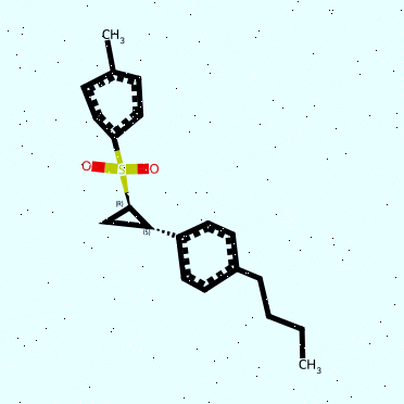 CCCCc1ccc([C@@H]2C[C@H]2S(=O)(=O)c2ccc(C)cc2)cc1